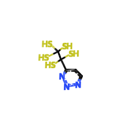 SC(S)(S)C(S)(S)c1ccnnn1